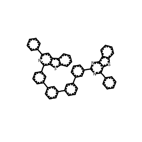 c1ccc(-c2cc3c(sc4ccccc43)c(-c3cccc(-c4cccc(-c5cccc(-c6cccc(-c7nc(-c8ccccc8)c8sc9ccccc9c8n7)c6)c5)c4)c3)n2)cc1